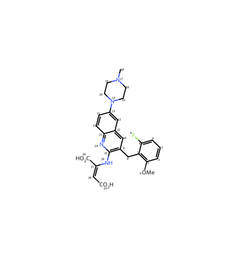 COc1cccc(F)c1Cc1cc2cc(N3CCN(C)CC3)ccc2nc1N/C(=C\C(=O)O)C(=O)O